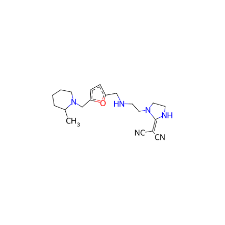 CC1CCCCN1Cc1ccc(CNCCN2CCNC2=C(C#N)C#N)o1